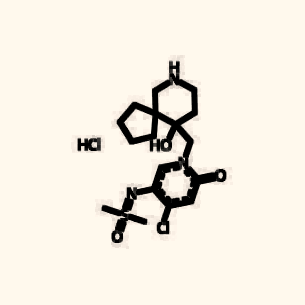 CS(C)(=O)=Nc1cn(CC2(O)CCNCC23CCCC3)c(=O)cc1Cl.Cl